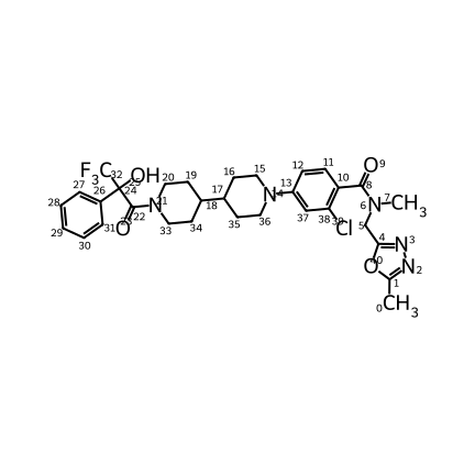 Cc1nnc(CN(C)C(=O)c2ccc(N3CCC(C4CCN(C(=O)C(O)(c5ccccc5)C(F)(F)F)CC4)CC3)cc2Cl)o1